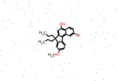 CCCC1(CCC)c2cc(OC)ccc2-c2c1cc(O)c1ccc(Br)cc21